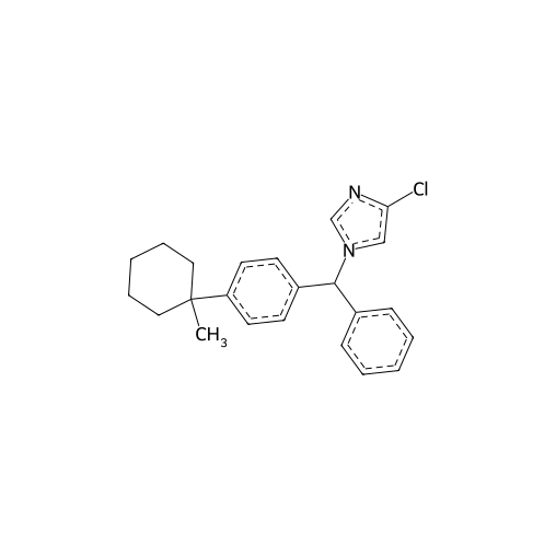 CC1(c2ccc(C(c3ccccc3)n3cnc(Cl)c3)cc2)CCCCC1